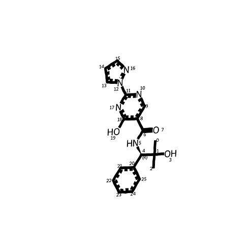 CC(C)(O)[C@H](NC(=O)c1cnc(-n2cccn2)nc1O)c1ccccc1